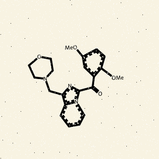 COc1ccc(OC)c(C(=O)c2nc(CN3CCOCC3)c3ccccn23)c1